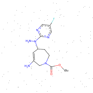 CC(C)(C)OC(=O)N1CCC(N(N)c2ncc(F)cn2)C=C(N)C1